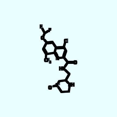 O=C(NCC1C[S+]([O-])CCN1)c1cc(Cl)c2cc(OC(F)F)cc(C(F)(F)F)c2n1